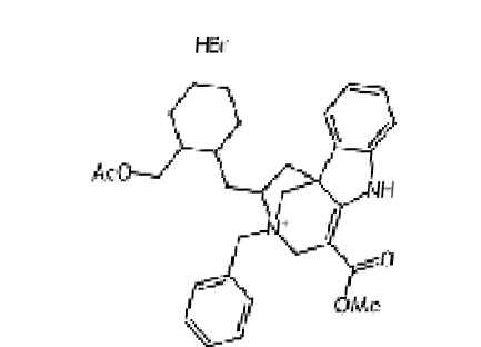 Br.COC(=O)C1=C2Nc3ccccc3C23CC(CC2CCCCC2COC(C)=O)[N+](Cc2ccccc2)(C1)C3